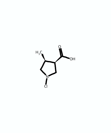 C[C@@H]1CN(Cl)C[C@@H]1C(=O)O